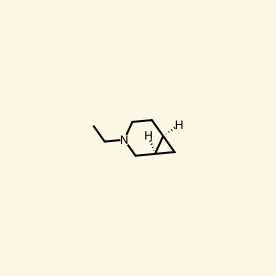 CCN1CC[C@H]2C[C@H]2C1